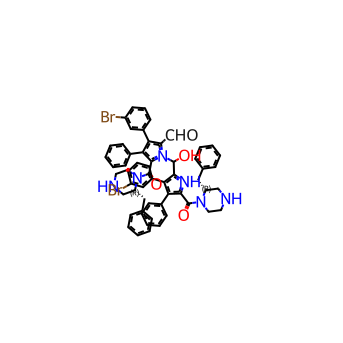 O=Cc1c(-c2cccc(Br)c2)c(-c2ccccc2)c(C(=O)N2CCNC[C@H]2Cc2ccccc2)n1C(O)c1[nH]c(C(=O)N2CCNC[C@H]2Cc2ccccc2)c(-c2ccccc2)c1-c1cccc(Br)c1